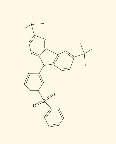 CC(C)(C)c1ccc2c(c1)-c1cc(C(C)(C)C)ccc1C2c1cccc(S(=O)(=O)c2ccccc2)c1